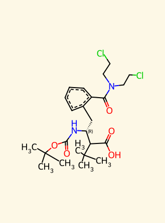 CC(C)(C)OC(=O)N[C@H](Cc1ccccc1C(=O)N(CCCl)CCCl)C(C(=O)O)C(C)(C)C